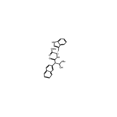 CCCCC(O)C(C(=O)N[C@@H](Cc1c[nH]c2ccccc12)C(=O)OC)c1ccc2ccccc2c1